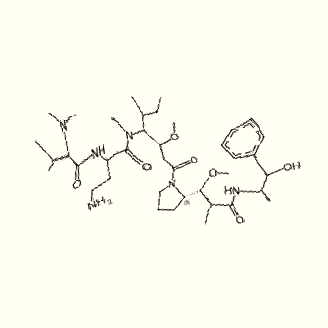 CCC(C)C(C(CC(=O)N1CCC[C@H]1C(OC)C(C)C(=O)NC(C)C(O)c1ccccc1)OC)N(C)C(=O)C(CCN)NC(=O)C(C(C)C)N(C)C